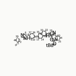 CC1=C[C@@H](c2ncc(-c3ccc(-c4ccc5cc(-c6cnc([C@@H]7CCCN7C(=O)OC(C)(C)C)[nH]6)ccc5c4)cc3)[nH]2)CC1